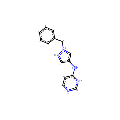 c1ccc(Cn2cc(Nc3ccncn3)cn2)cc1